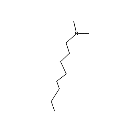 CCCCC[CH]CCN(C)C